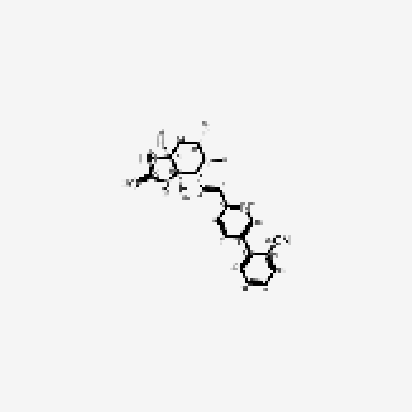 C[C@H]1[C@H](/C=C/c2ccc(-c3ccccc3C#N)cn2)[C@H]2OC(=O)N[C@H]2C[C@@H]1C